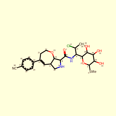 CSC1OC(C(NC(=O)C2NCC3C=C(c4ccc(C#N)cc4)CCOC32)C(C)Cl)C(O)C(O)C1O